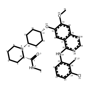 CNC(=O)[C@@H]1CCCCN1[C@H]1CC[C@@H](Oc2cc3c(Nc4cccc(Cl)c4F)ncnc3cc2OC)CC1